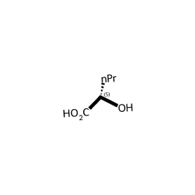 CCC[C@H](O)C(=O)O